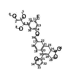 COC[C@@H](OC)[C@@H](OC)c1cc(F)cc(OC=C2C=CC3=C(C2)CC2C(=O)OCC2=C3c2ccco2)c1